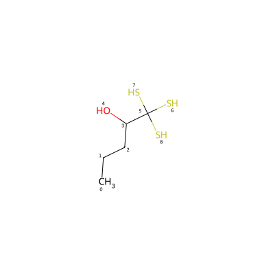 CCCC(O)C(S)(S)S